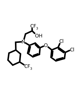 OC(CN(CC1CCCC(C(F)(F)F)C1)c1cccc(Oc2cccc(Cl)c2Cl)c1)C(F)(F)F